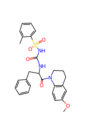 COc1ccc2c(c1)CCCN2C(=O)C(Cc1ccccc1)NC(=O)NS(=O)(=O)c1ccccc1C